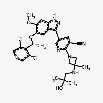 COc1cc2[nH]nc(-c3cnc(N4CC(C)(NCC(C)(C)O)C4)c(C#N)c3)c2cc1O[C@H](C)c1c(Cl)cncc1Cl